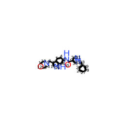 O=C(Nc1ccc2c(CN3CCOCC3)c[nH]c2c1)c1cnn(Cc2ccccc2)c1